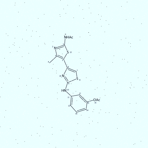 CC(=O)Nc1nc(C)c(-c2csc(Nc3cccc(OC(C)=O)c3)n2)s1